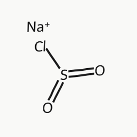 O=[S-](=O)Cl.[Na+]